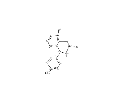 O=C1Cc2c(F)cccc2C(c2ccc(Cl)cc2)N1